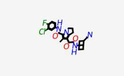 Cc1c(C(=O)C(=O)NC23CCC2C(C#N)C3)c2n(c1C(=O)Nc1ccc(F)c(Cl)c1)CCC2